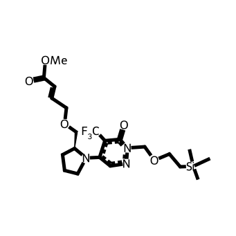 COC(=O)/C=C/COC[C@@H]1CCCN1c1cnn(COCC[Si](C)(C)C)c(=O)c1C(F)(F)F